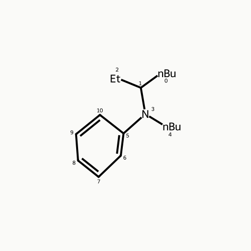 CCCCC(CC)N(CCCC)c1ccccc1